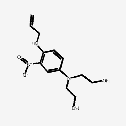 C=CCNc1ccc(N(CCO)CCO)cc1[N+](=O)[O-]